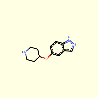 c1cc2[nH]ncc2cc1OC1CCNCC1